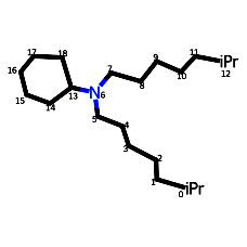 CC(C)CCCCCN(CCCCCC(C)C)C1CCCCC1